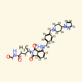 CC(CCC(=O)NC=O)N1C(=O)c2cccc(NCc3ccc(CN4CCC(n5cccn5)CC4)cc3)c2C1=O